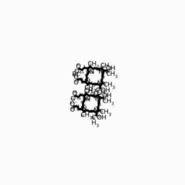 CC1=C(CCC(=O)[O-])c2cc3[nH]c(cc4nc(cc5[nH]c(cc1n2)c(C)c5C(C)O)C(C)=C4C(C)O)c(C)c3CCC(=O)[O-].CC1=C(CCC(=O)[O-])c2cc3[nH]c(cc4nc(cc5[nH]c(cc1n2)c(C)c5C(C)O)C(C)=C4C(C)O)c(C)c3CCC(=O)[O-].[Pt+4]